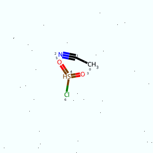 CC#N.O=[SH](=O)Cl